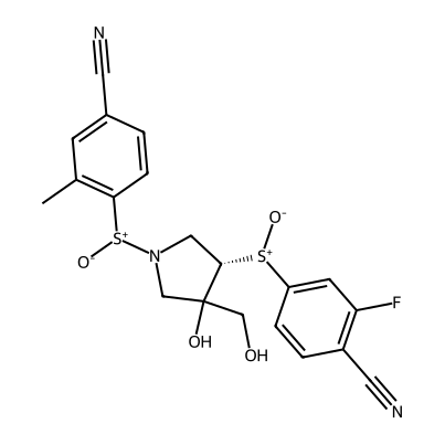 Cc1cc(C#N)ccc1[S+]([O-])N1C[C@H]([S+]([O-])c2ccc(C#N)c(F)c2)C(O)(CO)C1